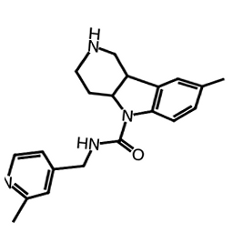 Cc1ccc2c(c1)C1CNCCC1N2C(=O)NCc1ccnc(C)c1